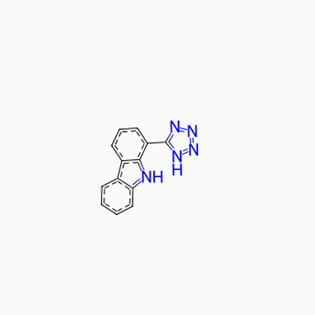 c1ccc2c(c1)[nH]c1c(-c3nnn[nH]3)cccc12